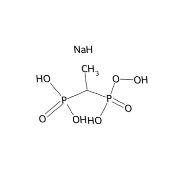 CC(P(=O)(O)O)P(=O)(O)OO.[NaH]